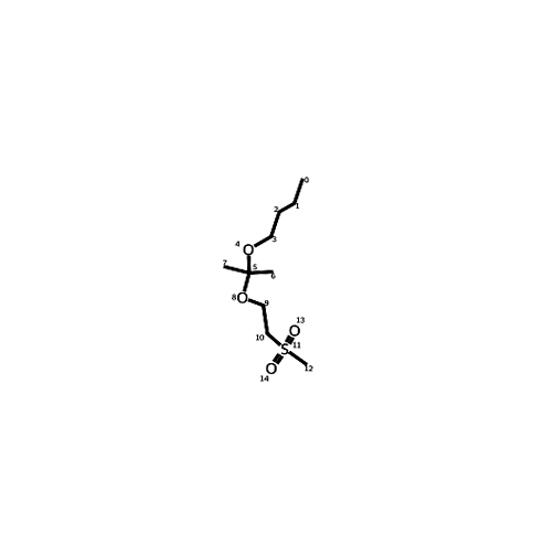 CCCCOC(C)(C)OCCS(C)(=O)=O